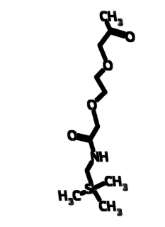 CC(=O)COCCOCC(=O)NC[Si](C)(C)C